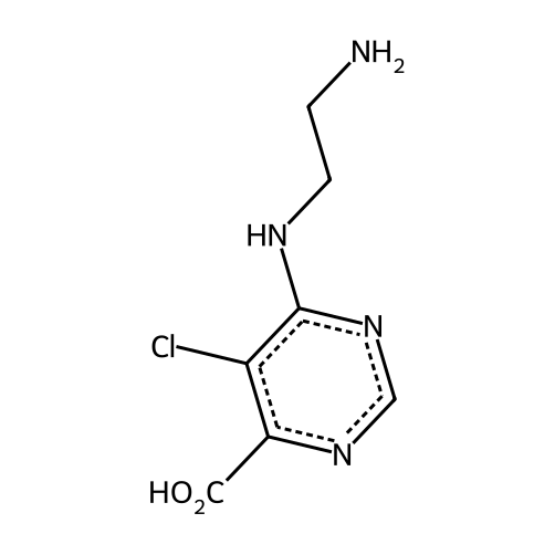 NCCNc1ncnc(C(=O)O)c1Cl